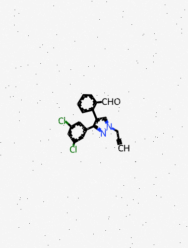 C#CCn1cc(-c2ccccc2C=O)c(-c2cc(Cl)cc(Cl)c2)n1